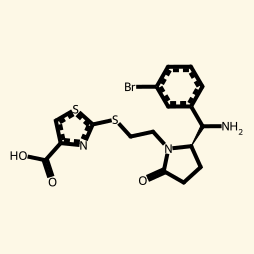 NC(c1cccc(Br)c1)[C@H]1CCC(=O)N1CCSc1nc(C(=O)O)cs1